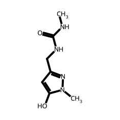 CNC(=O)NCc1cc(O)n(C)n1